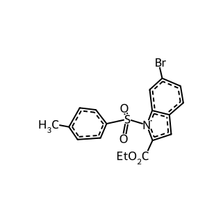 CCOC(=O)c1cc2ccc(Br)cc2n1S(=O)(=O)c1ccc(C)cc1